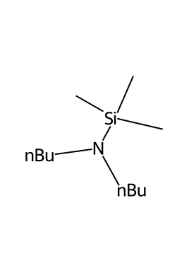 CCCCN(CCCC)[Si](C)(C)C